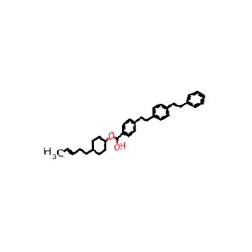 C/C=C/CCC1CCC(OC(O)c2ccc(CCc3ccc(CCc4ccccc4)cc3)cc2)CC1